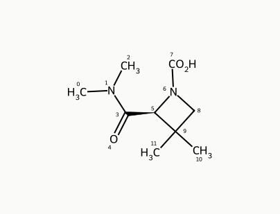 CN(C)C(=O)[C@H]1N(C(=O)O)CC1(C)C